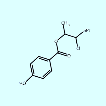 CCCC(Cl)C(C)OC(=O)c1ccc(O)cc1